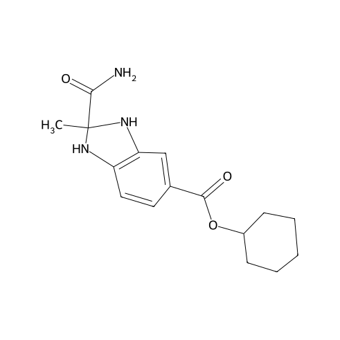 CC1(C(N)=O)Nc2ccc(C(=O)OC3CCCCC3)cc2N1